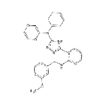 COc1cccc(CNc2ncccc2-c2nnc(N(C3=CC=CCC3)C3=COC=CO3)[nH]2)c1